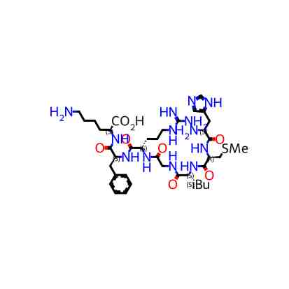 CC[C@H](C)[C@H](NC(=O)[C@H](CSC)NC(=O)[C@@H](N)Cc1cnc[nH]1)C(=O)NCC(=O)N[C@@H](CCCNC(=N)N)C(=O)N[C@@H](Cc1ccccc1)C(=O)N[C@@H](CCCCN)C(=O)O